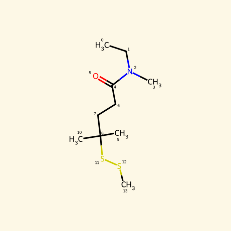 CCN(C)C(=O)CCC(C)(C)SSC